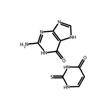 Nc1nc2nc[nH]c2c(=O)[nH]1.O=c1cc[nH]c(=S)[nH]1